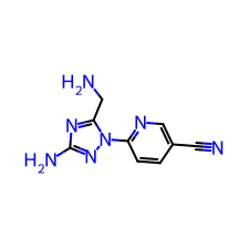 N#Cc1ccc(-n2nc(N)nc2CN)nc1